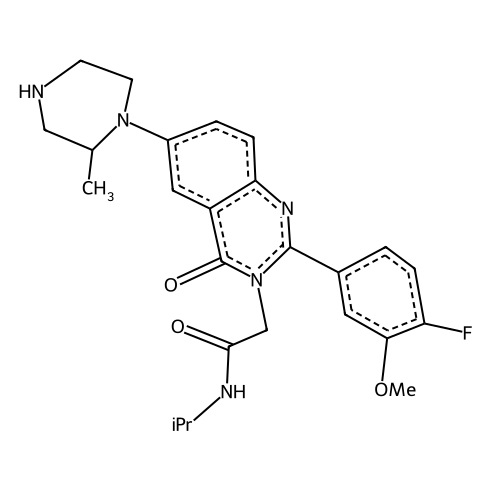 COc1cc(-c2nc3ccc(N4CCNCC4C)cc3c(=O)n2CC(=O)NC(C)C)ccc1F